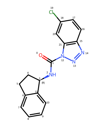 O=C(N[C@@H]1CCc2ccccc21)n1nnc2ccc(Cl)cc21